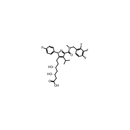 CC(C)c1c(C(=O)N(C)Cc2ccc(F)c(F)c2F)nn(-c2ccc(F)cc2)c1CC[C@@H](O)C[C@@H](O)CC(=O)O